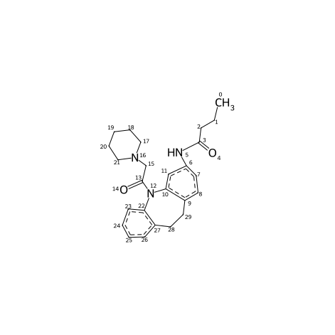 CCCC(=O)Nc1ccc2c(c1)N(C(=O)CN1CCCCC1)c1ccccc1CC2